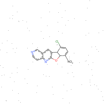 O=[N+]([O-])C1=CC=C(Cl)C2c3cc4cnccc4nc3OC12